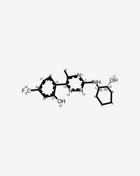 Cc1nc(N[C@@H]2CCCC[C@H]2O)nnc1-c1ccc(C(F)(F)F)cc1O